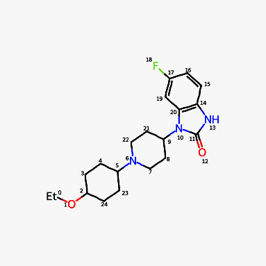 CCOC1CCC(N2CCC(n3c(=O)[nH]c4ccc(F)cc43)CC2)CC1